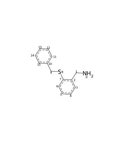 NCc1ccccc1SCc1ccccc1